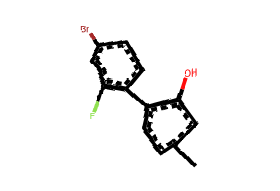 Cc1ccc(-c2ccc(Br)cc2F)c(O)c1